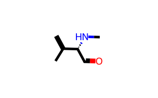 C=C(C)[C@@H](C=O)NC